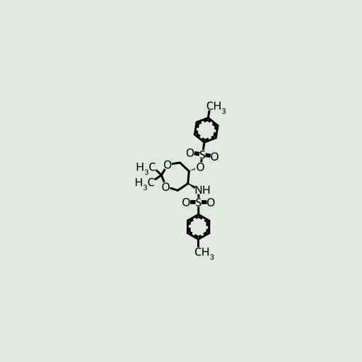 Cc1ccc(S(=O)(=O)N[C@H]2COC(C)(C)OC[C@@H]2OS(=O)(=O)c2ccc(C)cc2)cc1